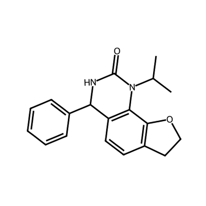 CC(C)N1C(=O)NC(c2ccccc2)c2ccc3c(c21)OCC3